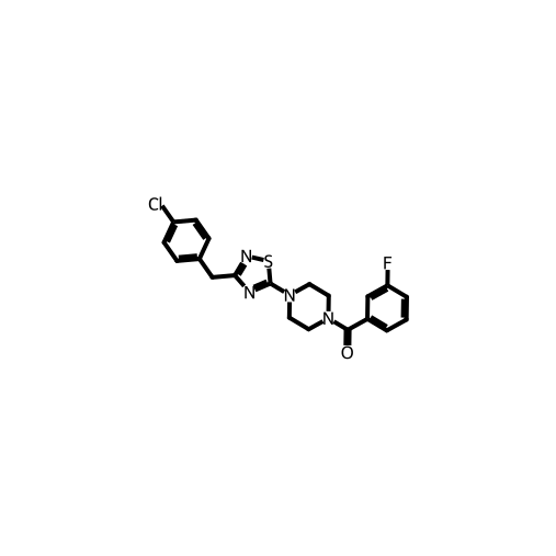 O=C(c1cccc(F)c1)N1CCN(c2nc(Cc3ccc(Cl)cc3)ns2)CC1